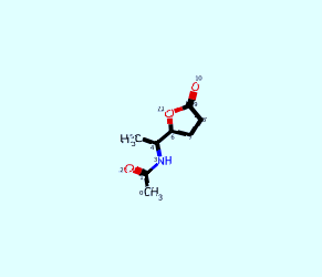 CC(=O)NC(C)C1CCC(=O)O1